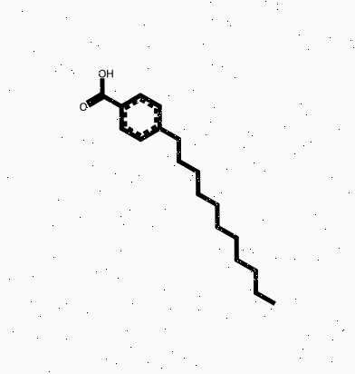 CCCCCCCCCCCc1ccc(C(=O)O)cc1